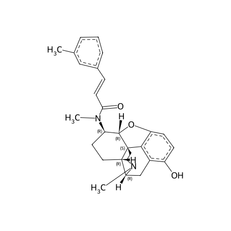 Cc1cccc(C=CC(=O)N(C)[C@@H]2CC[C@H]3[C@H]4Cc5c(O)ccc6c5[C@@]3(CCN4C)[C@H]2O6)c1